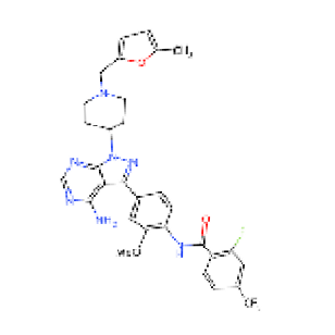 COc1cc(-c2nn(C3CCN(Cc4ccc(C)o4)CC3)c3ncnc(N)c23)ccc1NC(=O)c1ccc(C(F)(F)F)cc1F